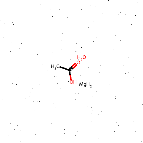 CC(=O)O.O.[MgH2]